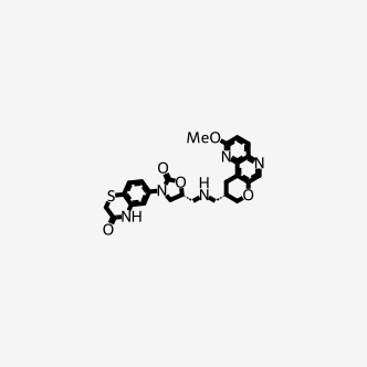 COc1ccc2ncc3c(c2n1)C[C@@H](CNC[C@@H]1CN(c2ccc4c(c2)NC(=O)CS4)C(=O)O1)CO3